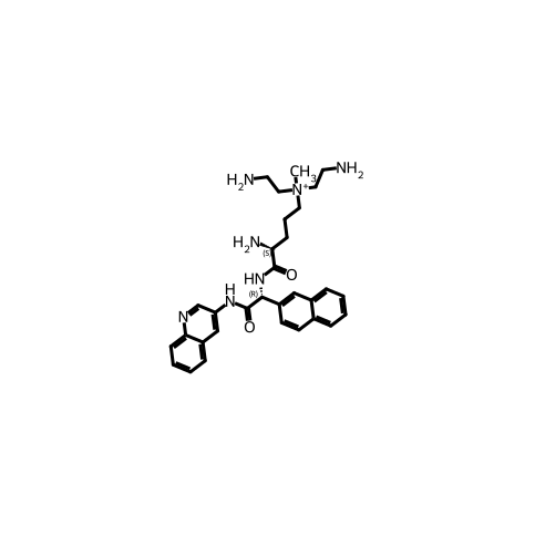 C[N+](CCN)(CCN)CCC[C@H](N)C(=O)N[C@@H](C(=O)Nc1cnc2ccccc2c1)c1ccc2ccccc2c1